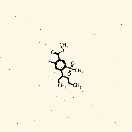 CCCC(CC)c1cc(F)c(C(=O)OC)cc1S(C)(=O)=O